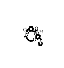 CC1CCCCOc2cc(CN3CCCC3)cc3[nH]c(=O)c(nc23)-c2cccc3c(=O)n1sc23